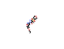 CCCOCC(C)(C)c1cc(NC(=O)C(C)(C)S(=O)(=O)C2CCOCC2)no1